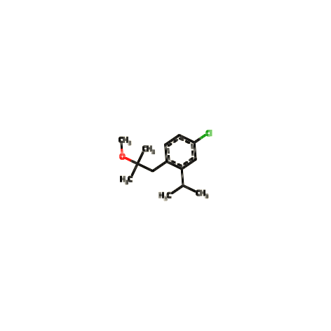 COC(C)(C)Cc1ccc(Cl)cc1C(C)C